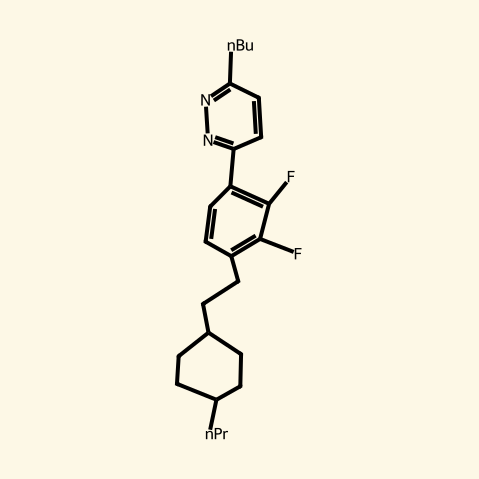 CCCCc1ccc(-c2ccc(CCC3CCC(CCC)CC3)c(F)c2F)nn1